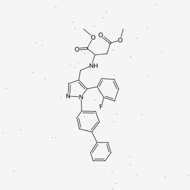 COC(=O)CC(NCc1cnn(-c2ccc(-c3ccccc3)cc2)c1-c1ccccc1F)C(=O)OC